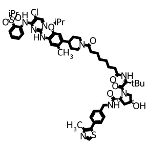 Cc1cc(Nc2ncc(Cl)c(Nc3ccccc3S(=O)(=O)C(C)C)n2)c(OC(C)C)cc1C1CCN(C(=O)CCCCCCC(=O)N[C@H](C(=O)N2C[C@H](O)C[C@H]2C(=O)NCc2ccc(-c3scnc3C)cc2)C(C)(C)C)CC1